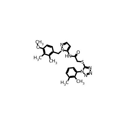 COc1ccc(Cn2nccc2NC(=O)CSc2nnnn2-c2cccc(C)c2C)c(C)c1C